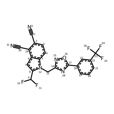 N#Cc1ccc2c(cc(C(F)F)n2Cc2noc(-c3cccc(C(F)(F)F)c3)n2)c1C#N